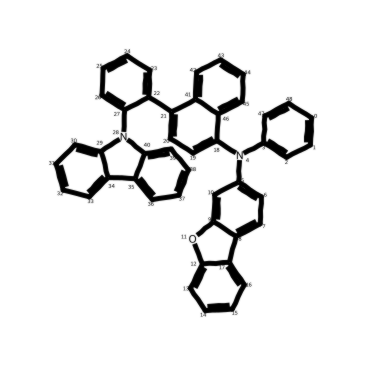 c1ccc(N(c2ccc3c(c2)oc2ccccc23)c2ccc(-c3ccccc3-n3c4ccccc4c4ccccc43)c3ccccc23)cc1